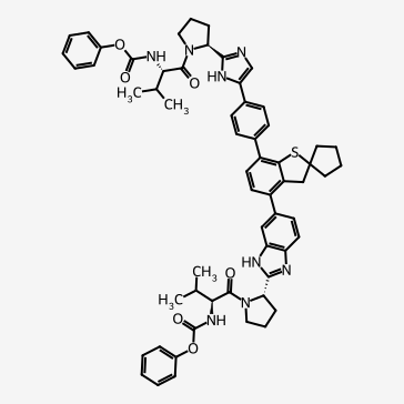 CC(C)[C@H](NC(=O)Oc1ccccc1)C(=O)N1CCC[C@H]1c1ncc(-c2ccc(-c3ccc(-c4ccc5nc([C@@H]6CCCN6C(=O)[C@@H](NC(=O)Oc6ccccc6)C(C)C)[nH]c5c4)c4c3SC3(CCCC3)C4)cc2)[nH]1